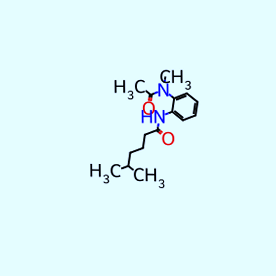 CC(=O)N(C)c1ccccc1NC(=O)CCCC(C)C